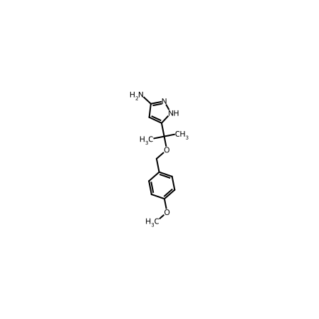 COc1ccc(COC(C)(C)c2cc(N)n[nH]2)cc1